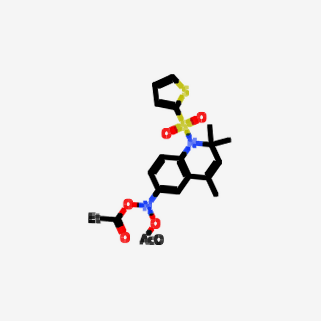 CCC(=O)ON(OOC(C)=O)c1ccc2c(c1)C(C)=CC(C)(C)N2S(=O)(=O)c1cccs1